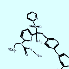 CCc1cccc(-c2ccc(CC(N)(c3cccc(N(CC(=O)O)C(=O)OC(C)(C)C)n3)S(=O)(=O)c3ccccn3)cc2)c1